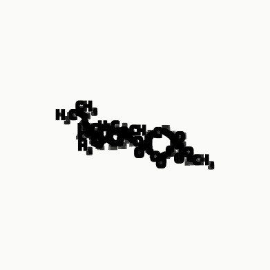 CCC[C@@]1(C)C(CCOC(=O)N2CCCCCC(=O)N(CC(=O)OCC)CCC(=O)OC2)=CCC2C1CC[C@@]1(C)C2CC[C@@H]1C(C)CCCC(C)C